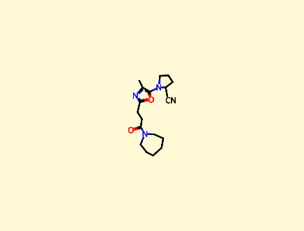 Cc1nc(CCC(=O)N2CCCCCC2)oc1N1CCCC1C#N